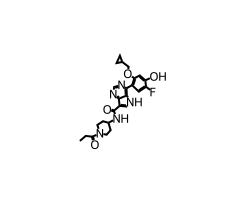 CCC(=O)N1CCC(NC(=O)c2c[nH]c3c(-c4cc(F)c(O)cc4OCC4CC4)ncnc23)CC1